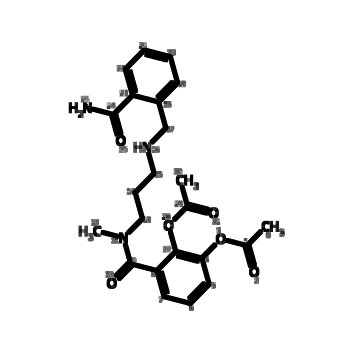 CC(=O)Oc1cccc(C(=O)N(C)CCCNCc2ccccc2C(N)=O)c1OC(C)=O